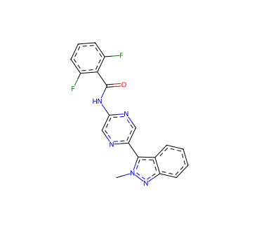 Cn1nc2ccccc2c1-c1cnc(NC(=O)c2c(F)cccc2F)cn1